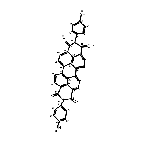 O=C1c2ccc3c4ccc5c6c(ccc(c7ccc(c2c37)C(=O)N1c1ccc(S)cc1)c64)C(=O)N(c1ccc(S)cc1)C5=O